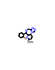 CSc1ccc2c(n1)C(c1ccccc1Br)=NCc1nncn1-2